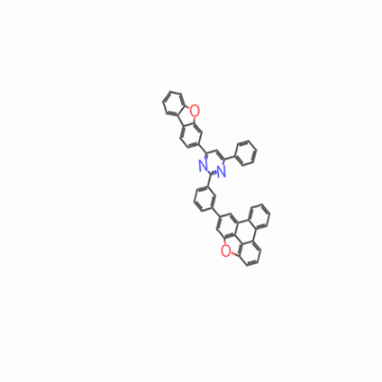 c1ccc(-c2cc(-c3ccc4c(c3)oc3ccccc34)nc(-c3cccc(-c4cc5oc6cccc7c8ccccc8c(c4)c5c67)c3)n2)cc1